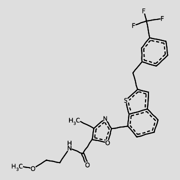 COCCNC(=O)c1oc(-c2cccc3cc(Cc4cccc(C(F)(F)F)c4)sc23)nc1C